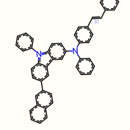 C(=C\c1ccc(N(c2ccccc2)c2ccc3c(c2)c2cc(-c4ccc5ccccc5c4)ccc2n3-c2ccccc2)cc1)/c1ccccc1